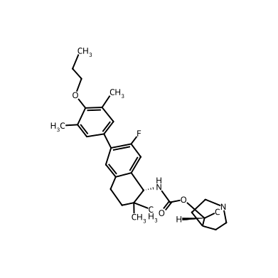 CCCOc1c(C)cc(-c2cc3c(cc2F)[C@H](NC(=O)O[C@@H]2CN4CCC2CC4)C(C)(C)CC3)cc1C